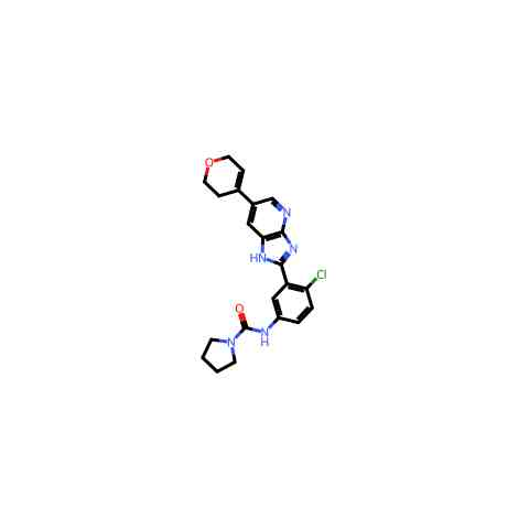 O=C(Nc1ccc(Cl)c(-c2nc3ncc(C4=CCOCC4)cc3[nH]2)c1)N1CCCC1